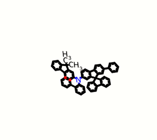 CC1(C)c2ccccc2-c2ccc(N(c3ccc4c(c3)C3(c5ccccc5-c5ccccc53)c3cc(-c5ccccc5)ccc3-4)c3ccccc3-c3ccccc3)cc21